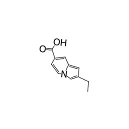 CCc1cc2cc(C(=O)O)ccn2c1